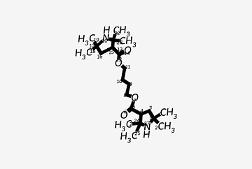 CC1(C)CC(C(=O)OCCCCOC(=O)C2CC(C)(C)NC2(C)C)C(C)(C)N1